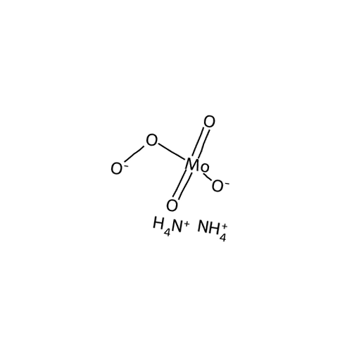 [NH4+].[NH4+].[O]=[Mo](=[O])([O-])[O][O-]